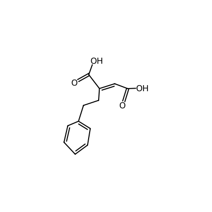 O=C(O)/C=C(\CCc1ccccc1)C(=O)O